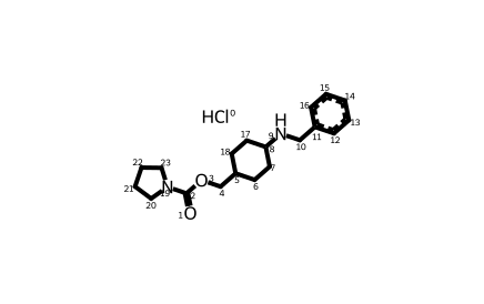 Cl.O=C(OCC1CCC(NCc2ccccc2)CC1)N1CCCC1